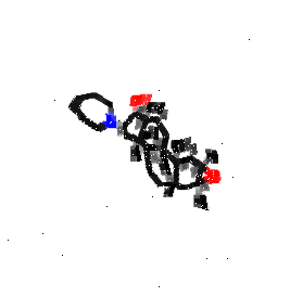 C[C@]12C[C@H]3O[C@H]3C[C@@H]1CC[C@@H]1[C@@H]2CC[C@]2(C)[C@@H](O)[C@@H](N3CCCCCC3)C[C@@H]12